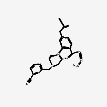 CC(C)Cc1ccc(C(=N)/N=N\N)c(N2CCN(Cc3cccc(C#N)n3)CC2)c1